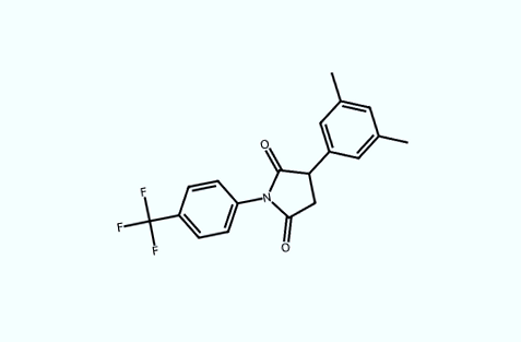 Cc1cc(C)cc(C2CC(=O)N(c3ccc(C(F)(F)F)cc3)C2=O)c1